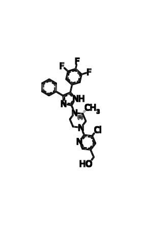 C[C@@H]1CN(c2ncc(CO)cc2Cl)CCN1c1nc(-c2ccccc2)c(-c2cc(F)c(F)c(F)c2)[nH]1